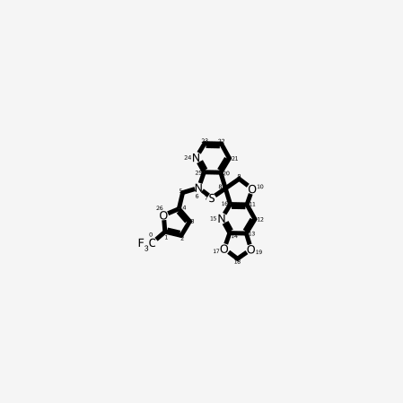 FC(F)(F)c1ccc(CN2SC3(COc4cc5c(nc43)OCO5)c3cccnc32)o1